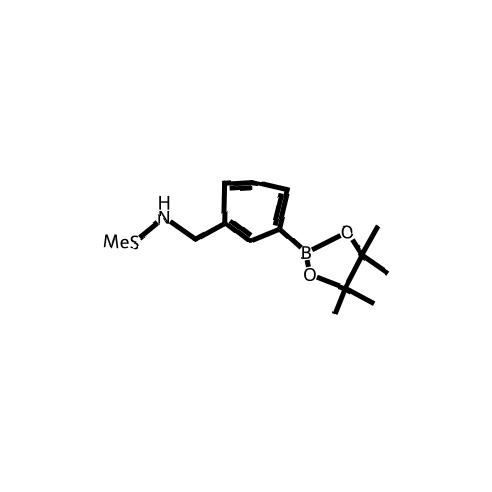 CSNCc1cccc(B2OC(C)(C)C(C)(C)O2)c1